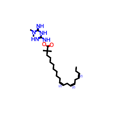 CC/C=C\C/C=C\C/C=C\CCCCCCCCC(C)(C)C(=O)ONC(=N)NC(=N)N(C)C